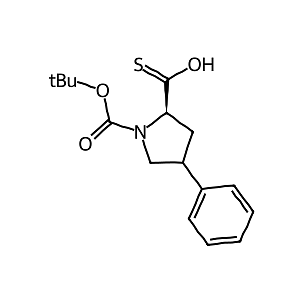 CC(C)(C)OC(=O)N1CC(c2ccccc2)C[C@@H]1C(O)=S